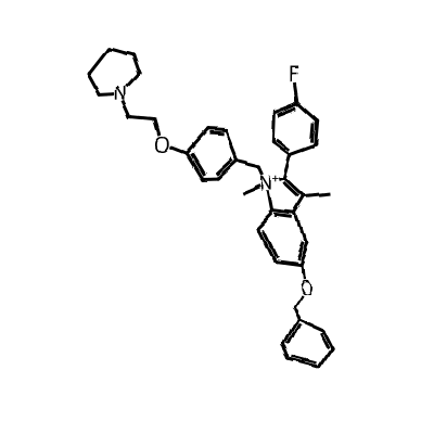 CC1=C(c2ccc(F)cc2)[N+](C)(Cc2ccc(OCCN3CCCCC3)cc2)c2ccc(OCc3ccccc3)cc21